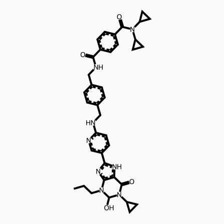 CCCN1c2nc(-c3ccc(NCc4ccc(CNC(=O)c5ccc(C(=O)N(C6CC6)C6CC6)cc5)cc4)nc3)[nH]c2C(=O)N(C2CC2)C1O